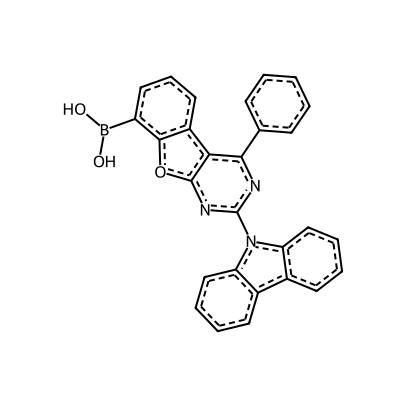 OB(O)c1cccc2c1oc1nc(-n3c4ccccc4c4ccccc43)nc(-c3ccccc3)c12